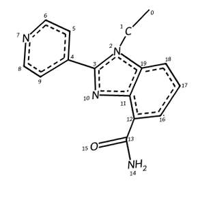 CCn1c(-c2ccncc2)nc2c(C(N)=O)[c]ccc21